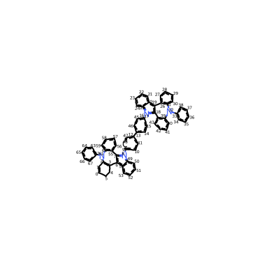 C1=CC2=C(CC1)c1c(n(-c3ccc(-c4ccc(-n5c6c(c7ccccc75)-c5ccccc5N(c5ccccc5)c5ccccc5-6)cc4)cc3)c3ccccc13)-c1ccccc1N2c1ccccc1